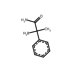 BC(C)(C(N)=O)c1ccccc1